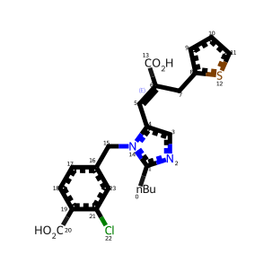 CCCCc1ncc(/C=C(\Cc2cccs2)C(=O)O)n1Cc1ccc(C(=O)O)c(Cl)c1